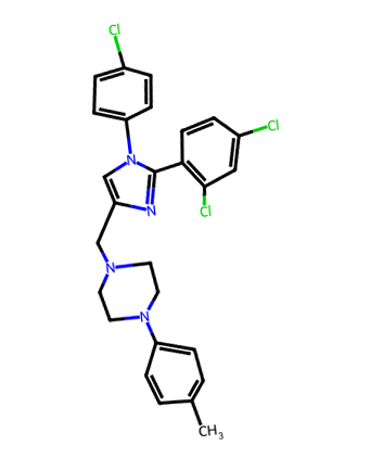 Cc1ccc(N2CCN(Cc3cn(-c4ccc(Cl)cc4)c(-c4ccc(Cl)cc4Cl)n3)CC2)cc1